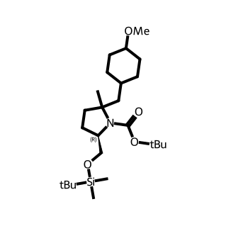 COC1CCC(CC2(C)CC[C@H](CO[Si](C)(C)C(C)(C)C)N2C(=O)OC(C)(C)C)CC1